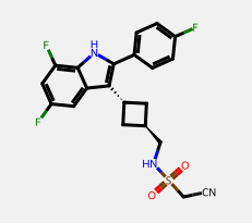 N#CCS(=O)(=O)NC[C@H]1C[C@H](c2c(-c3ccc(F)cc3)[nH]c3c(F)cc(F)cc32)C1